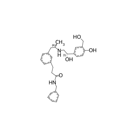 C[C@H](Cc1cccc(CCC(=O)NCc2ccccc2)c1)NC[C@@H](O)c1ccc(O)c(CO)c1